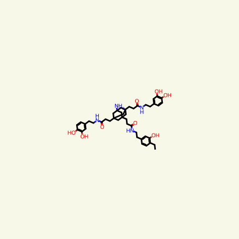 CCc1ccc(CCNC(=O)CCC23CC4(N)CC(CCC(=O)NCCc5ccc(O)c(O)c5)(CC(CCC(=O)NCCc5ccc(O)c(O)c5)(C4)C2)C3)cc1O